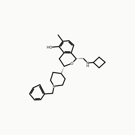 Cc1ccc2c(c1O)C[C@@H](C1CCN(Cc3ccccc3)CC1)O[C@H]2CNC1CCC1